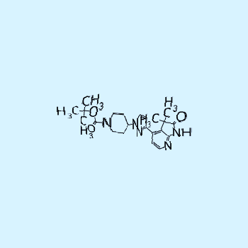 CC(C)(C)OC(=O)N1CCC(n2ccc(-c3ccnc4c3C(C)(C)C(=O)N4)n2)CC1